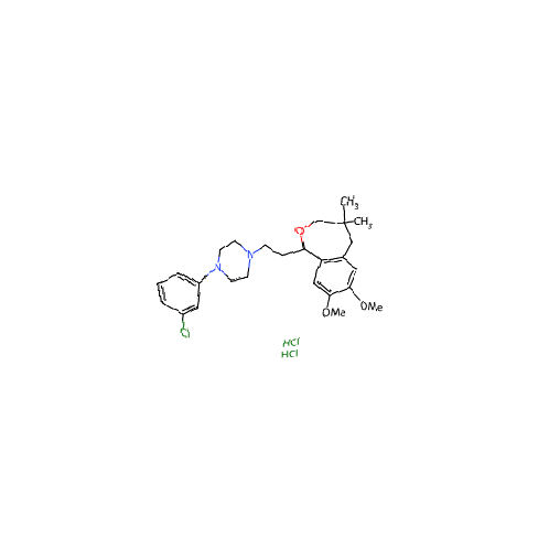 COc1cc2c(cc1OC)C(CCN1CCN(c3cccc(Cl)c3)CC1)OCC(C)(C)C2.Cl.Cl